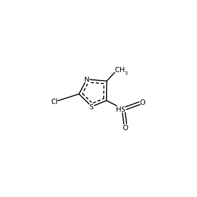 Cc1nc(Cl)sc1[SH](=O)=O